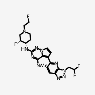 CNc1nc(N[C@H]2CCN(CCF)C[C@H]2F)nn2ccc(-c3ccc4nnn(CC(F)F)c4n3)c12